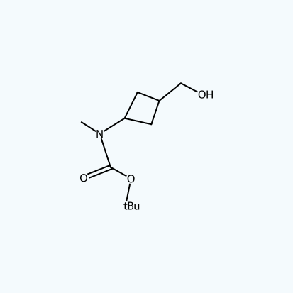 CN(C(=O)OC(C)(C)C)C1CC(CO)C1